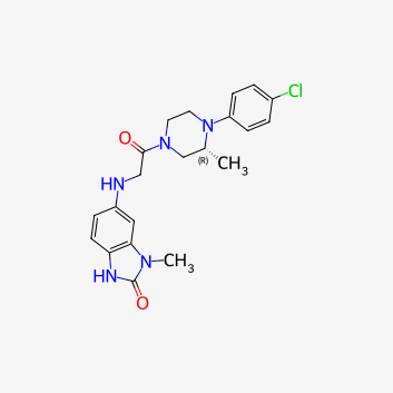 C[C@@H]1CN(C(=O)CNc2ccc3[nH]c(=O)n(C)c3c2)CCN1c1ccc(Cl)cc1